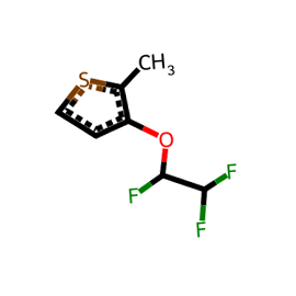 Cc1sccc1OC(F)C(F)F